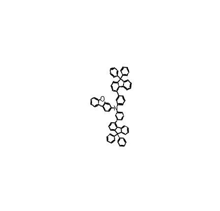 c1ccc(C2(c3ccccc3)c3ccccc3-c3c(-c4cccc(N(c5cccc(-c6cccc7c6-c6ccccc6C7(c6ccccc6)c6ccccc6)c5)c5ccc6c(c5)oc5ccccc56)c4)cccc32)cc1